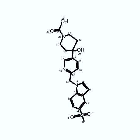 CS(=O)(=O)c1ccc2c(ccn2Cc2ccc(C3(O)CCN(C(=O)O)CC3)cn2)c1